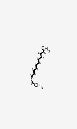 CC=C=CC=CC=CCCCCCC